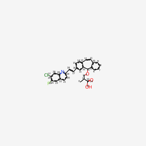 CC(COC1c2ccccc2C=Cc2ccc(C=Cc3ccc4cc(F)c(Cl)cc4n3)cc21)C(=O)O